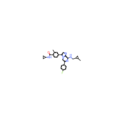 Cc1cc(-c2cnc3c(NCC4CC4C)nc(-c4ccc(F)cc4)cn23)ccc1C(=O)NC1CC1